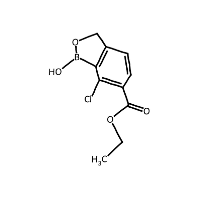 CCOC(=O)c1ccc2c(c1Cl)B(O)OC2